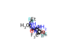 CCC(F)(F)CN[C@H](C)CNC(=O)c1cc(N)c2cc(OC(F)F)cc(C(F)(F)F)c2n1